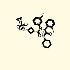 O=C(NC1CCCCC1)[C@@H](c1ccccc1I)N(c1cccc(F)c1)C(=O)[C@H]1C[C@@H](NS(=O)(=O)N2CC2)C1